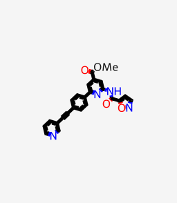 COC(=O)c1cc(NC(=O)c2ccno2)nc(-c2ccc(C#Cc3cccnc3)cc2)c1